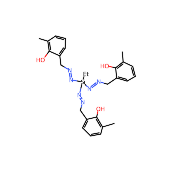 CC[Si](/N=N/Cc1cccc(C)c1O)(/N=N/Cc1cccc(C)c1O)/N=N/Cc1cccc(C)c1O